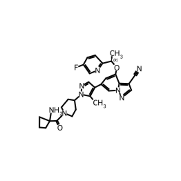 Cc1c(-c2cc(O[C@H](C)c3ccc(F)cn3)c3c(C#N)cnn3c2)cnn1C1CCN(C(=O)C2(N)CCC2)CC1